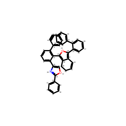 c1cccc(-c2cccc(-c3coc(-c4ccccc4)n3)c2-c2oc(-c3ccccc3-c3ccccc3)c3c2CCC=C3)c#1